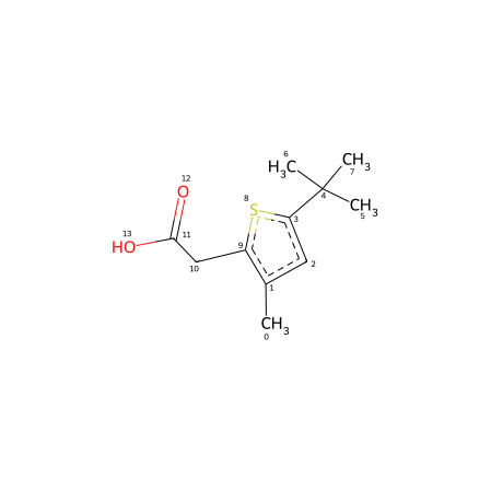 Cc1cc(C(C)(C)C)sc1CC(=O)O